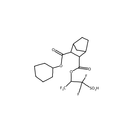 O=C(OC1CCCCC1)C1C2CCC(C2)C1C(=O)OC(C(F)(F)F)C(F)(F)S(=O)(=O)O